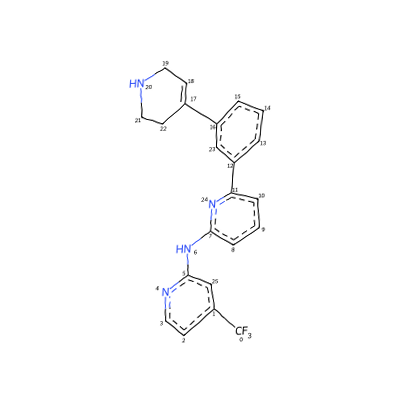 FC(F)(F)c1ccnc(Nc2cccc(-c3cccc(C4=CCNCC4)c3)n2)c1